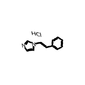 C(=Cn1ccnc1)c1ccccc1.Cl